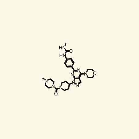 CNC(=O)Nc1ccc(-c2nc(N3CCOCC3)c3cnn(C4CCN(C(=O)N5CCN(C)CC5)CC4)c3n2)cc1